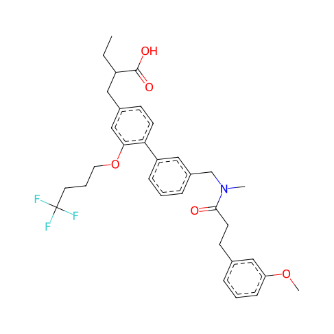 CCC(Cc1ccc(-c2cccc(CN(C)C(=O)CCc3cccc(OC)c3)c2)c(OCCCC(F)(F)F)c1)C(=O)O